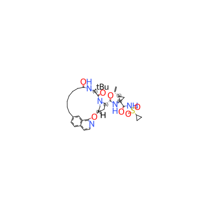 C=C[C@@H]1C[C@]1(NC(=O)[C@@H]1C[C@@H]2CN1C(=O)[C@H](C(C)(C)C)NC(=O)CCCCCCc1ccc3ccnc(c3c1)O2)C(=O)NS(=O)(=O)C1CC1